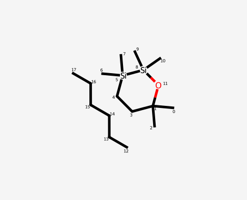 CC1(C)CC[Si](C)(C)[Si](C)(C)O1.CCCCCC